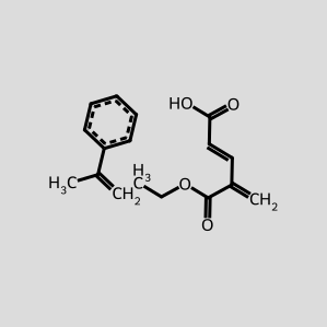 C=C(C)c1ccccc1.C=C(C=CC(=O)O)C(=O)OCC